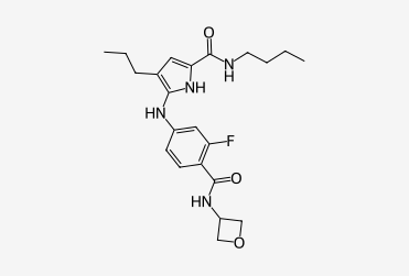 CCCCNC(=O)c1cc(CCC)c(Nc2ccc(C(=O)NC3COC3)c(F)c2)[nH]1